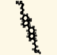 C/C=C/CO[C@@H]1CC[C@@H]2CC(C3CCc4cc(CCCCC)ccc4C3)CCC2C1